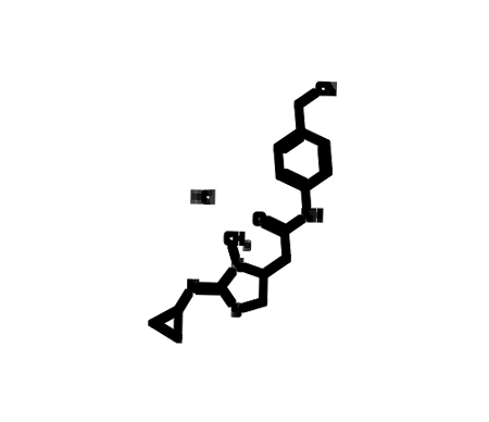 CN1C(=NC2CC2)SCC1CC(=O)Nc1ccc(CC#N)cc1.Cl